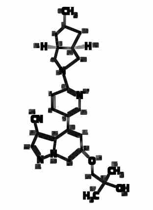 CC1C[C@@H]2CN(c3ccc(-c4cc(OCC(C)(C)O)cn5ncc(C#N)c45)cn3)C[C@@H]2C1